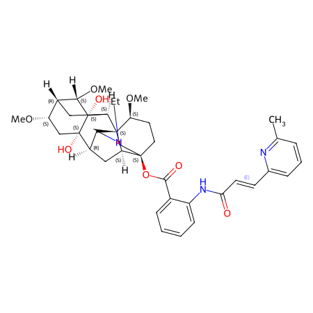 CCN1C[C@]2(OC(=O)c3ccccc3NC(=O)/C=C/c3cccc(C)n3)CC[C@H](OC)[C@]34C1[C@@H](C[C@H]23)[C@@]1(O)C[C@H](OC)[C@H]2C[C@@H]4[C@]1(O)[C@H]2OC